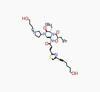 CC(C)C[C@H]1ON(C(=O)/C=C/c2nc(C#CCCCCO)cs2)C2=CN(C3CCN(CCCCO)C3)C(=O)[C@H](CC(C)(C)C)N2C1=O